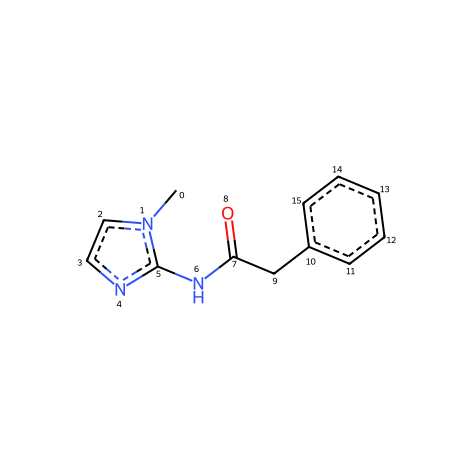 Cn1ccnc1NC(=O)Cc1ccccc1